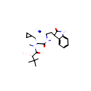 CN(C(=O)[C@H](O)C(C)(C)C)[C@@H](CC1CC1)C(=O)N1C[C@]2(C[C@H]1C#N)C(=O)Nc1ccccc12